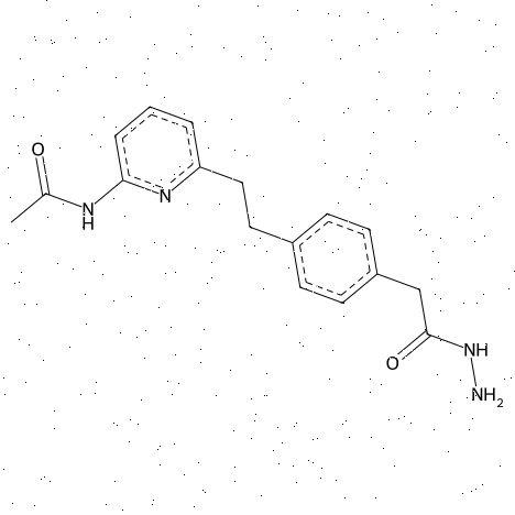 CC(=O)Nc1cccc(CCc2ccc(CC(=O)NN)cc2)n1